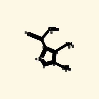 COC(=O)c1scc(N)c1N